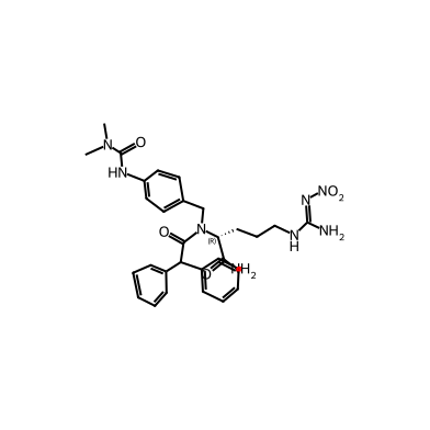 CN(C)C(=O)Nc1ccc(CN(C(=O)C(c2ccccc2)c2ccccc2)[C@H](CCCNC(N)=N[N+](=O)[O-])C(N)=O)cc1